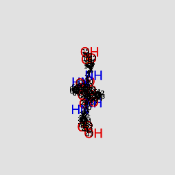 O=C(CNCCc1ccc(S(=O)(=O)CCO)cc1)Nc1ccc(-c2ccc(NC(=O)CNCCc3ccc(S(=O)(=O)CCO)cc3)c3c2C(=O)c2ccccc2C3=O)c2c1C(=O)c1ccccc1C2=O